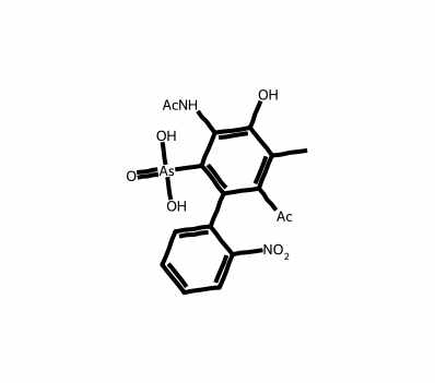 CC(=O)Nc1c(O)c(C)c(C(C)=O)c(-c2ccccc2[N+](=O)[O-])c1[As](=O)(O)O